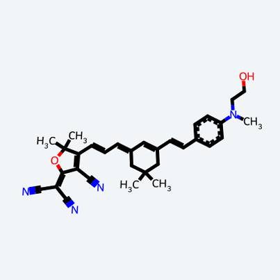 CN(CCO)c1ccc(/C=C/C2=CC(=C/C=C/C3=C(C#N)C(=C(C#N)C#N)OC3(C)C)/CC(C)(C)C2)cc1